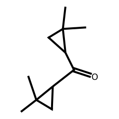 CC1(C)CC1C(=O)C1CC1(C)C